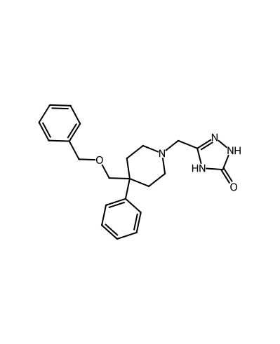 O=c1[nH]nc(CN2CCC(COCc3ccccc3)(c3ccccc3)CC2)[nH]1